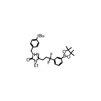 CCn1c(CCC(F)(F)c2cccc(B3OC(C)(C)C(C)(C)O3)c2)nn(Cc2ccc(C(C)(C)C)cc2)c1=O